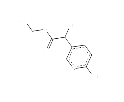 CCOC(=O)C(C)c1ccc(C)nc1